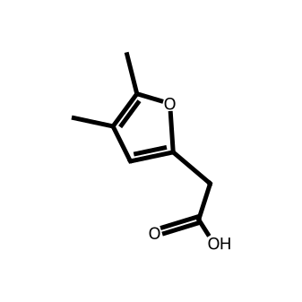 Cc1cc(CC(=O)O)oc1C